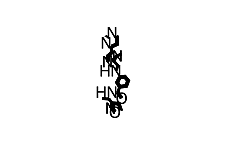 CC(NC(=O)c1cccc(NCc2ncc(-c3ccncn3)n2C)c1)c1ccon1